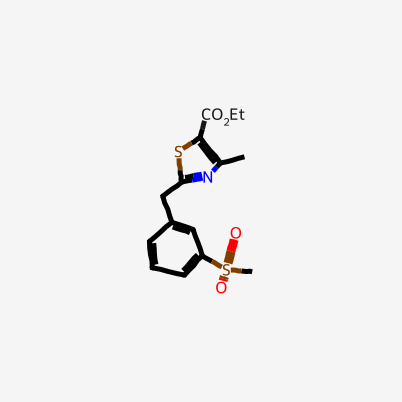 CCOC(=O)c1sc(Cc2cccc(S(C)(=O)=O)c2)nc1C